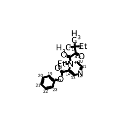 CCC(C)(C)C(=O)C(=O)[N+]1(CC)CC=NC=C1C(=O)Oc1ccccc1